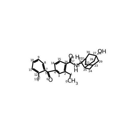 CCc1cc(C(=O)c2ccccc2F)ccc1C(=O)N[C@H]1C2CC3CC1C[C@](O)(C3)C2